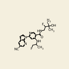 CC(CF)Nc1cc(-n2ccc3cc(C#N)cnc32)ncc1C(=O)NCC(F)C(C)(C)O